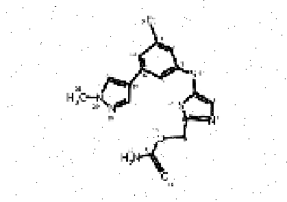 CCc1cc(Sc2cnc(COC(N)=O)s2)cc(-c2cnn(C)c2)c1